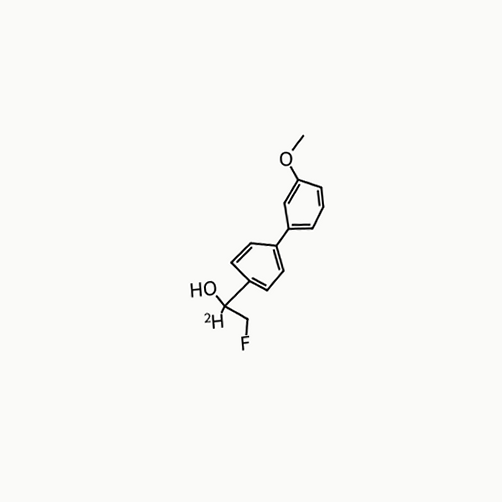 [2H]C(O)(CF)c1ccc(-c2cccc(OC)c2)cc1